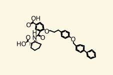 O=C(O)c1ccc(OCCCc2ccc(OCc3ccc(-c4ccccc4)cc3)cc2)c(C(=O)N[C@@H]2CCCC[C@@H]2C(=O)O)c1